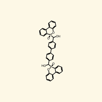 O=P1(C(O)c2ccc(-c3ccc(C(O)P4(=O)Oc5ccccc5-c5ccccc54)cc3)cc2)Oc2ccccc2-c2ccccc21